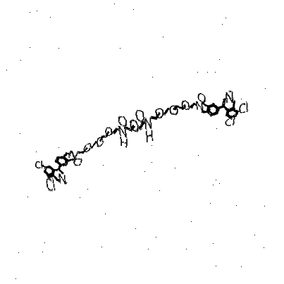 CN1Cc2c(Cl)cc(Cl)cc2C(c2ccc3c(c2)C(=O)N(CCOCCOCCOCCNC(=O)COCC(=O)NCCOCCOCCOCCN2Cc4ccc(C5CN(C)Cc6c(Cl)cc(Cl)cc65)cc4C2=O)C3)C1